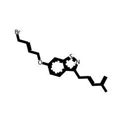 C=C(C)C=CCc1nsc2cc(OCC=CCBr)ccc12